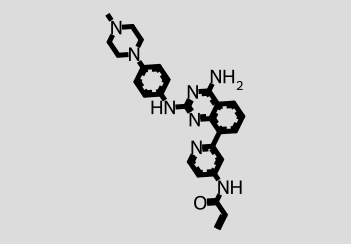 C=CC(=O)Nc1ccnc(-c2cccc3c(N)nc(Nc4ccc(N5CCN(C)CC5)cc4)nc23)c1